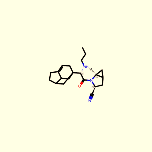 CCCN[C@H](C(=O)N1[C@H](C#N)CC2C[C@@H]21)C12CC=C3CCC(C1)C3C2